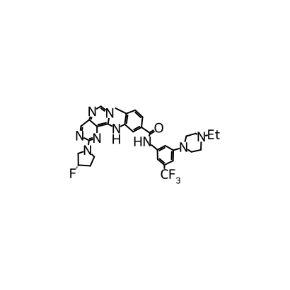 CCN1CCN(c2cc(NC(=O)c3ccc(C)c(Nc4ncnc5cnc(N6CC[C@H](F)C6)nc45)c3)cc(C(F)(F)F)c2)CC1